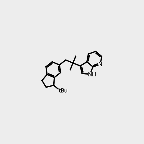 CC(C)(Cc1ccc2c(c1)C(C(C)(C)C)CC2)c1c[nH]c2ncccc12